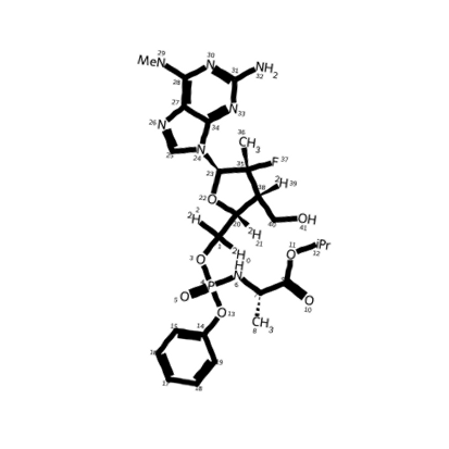 [2H]C([2H])(OP(=O)(N[C@@H](C)C(=O)OC(C)C)Oc1ccccc1)[C@]1([2H])O[C@@H](n2cnc3c(NC)nc(N)nc32)[C@](C)(F)[C@]1([2H])CO